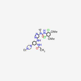 C=CC(=O)Nc1cc(N2CCN(CC)CC2)ccc1Nc1cc(N(C(=O)Nc2c(Cl)c(OC)cc(OC)c2Cl)C2CC2)ncn1